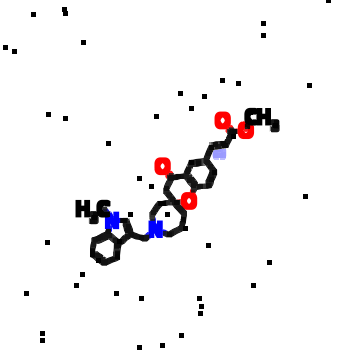 COC(=O)/C=C/c1ccc2c(c1)C(=O)CC1(CCCN(Cc3cn(C)c4ccccc34)CC1)O2